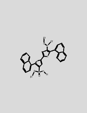 CCOP(CC)c1cc(-c2cc(P(=O)(OCC)OCC)c(-c3cccc4ccccc34)s2)sc1-c1cccc2ccccc12